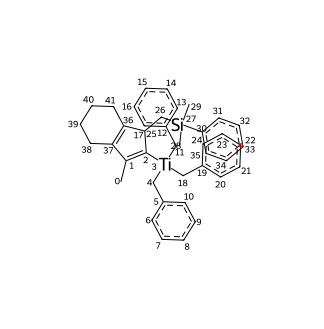 CC1=[C]([Ti]([CH2]c2ccccc2)([CH2]c2ccccc2)[CH2]c2ccccc2)C(C[Si](C)(C)c2ccccc2)C2=C1CCCC2